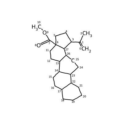 C=C(C)C1CCC2(C(=O)OC)CCC3C4CCC5CCCCC5C4CCC3C12